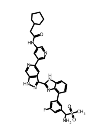 CS(=O)(=O)C(N)c1cc(F)cc(-c2cccc3[nH]c(-c4n[nH]c5cnc(-c6cncc(NC(=O)CC7CCCCC7)c6)cc45)nc23)c1